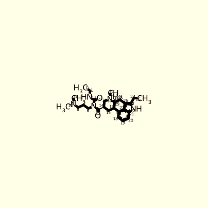 CCNC(=O)N(CCCN(C)C)C(=O)[C@@H]1CC2c3cccc4[nH]c(CC)c(c34)C[C@H]2N(C)C1